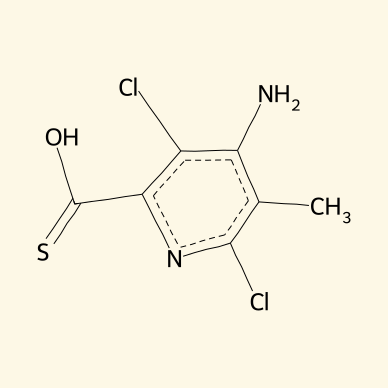 Cc1c(Cl)nc(C(O)=S)c(Cl)c1N